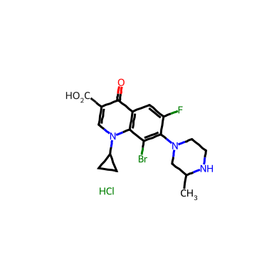 CC1CN(c2c(F)cc3c(=O)c(C(=O)O)cn(C4CC4)c3c2Br)CCN1.Cl